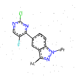 CC(=O)c1nn(C(C)C)c2ccc(-c3nc(Cl)ncc3F)cc12